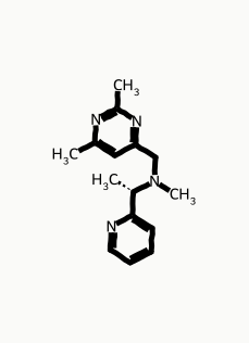 Cc1cc(CN(C)[C@@H](C)c2ccccn2)nc(C)n1